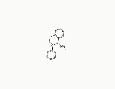 N[C]1c2ccccc2CC[C@@H]1c1ccccc1